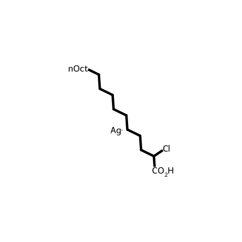 CCCCCCCCCCCCCCCCC(Cl)C(=O)O.[Ag]